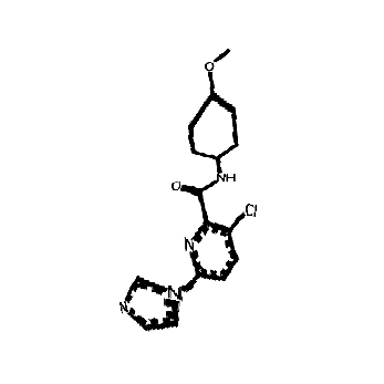 COC1CCC(NC(=O)c2nc(-n3ccnc3)ccc2Cl)CC1